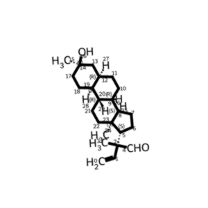 C=CC(C)(C=O)[C@H]1CC[C@H]2[C@@H]3CC[C@@H]4C[C@](C)(O)CC[C@@H]4[C@H]3CC[C@]12C